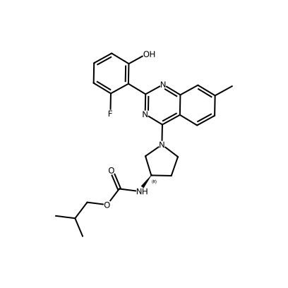 Cc1ccc2c(N3CC[C@@H](NC(=O)OCC(C)C)C3)nc(-c3c(O)cccc3F)nc2c1